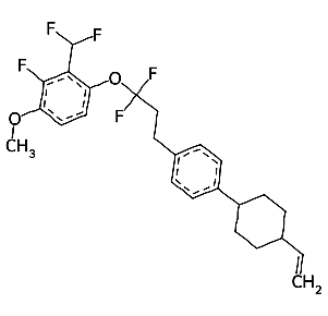 C=CC1CCC(c2ccc(CCC(F)(F)Oc3ccc(OC)c(F)c3C(F)F)cc2)CC1